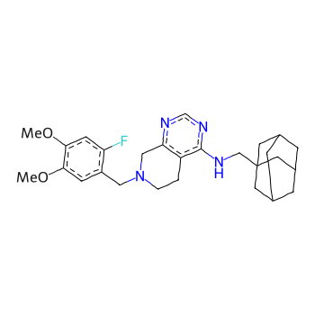 COc1cc(F)c(CN2CCc3c(ncnc3NCC34CC5CC(CC(C5)C3)C4)C2)cc1OC